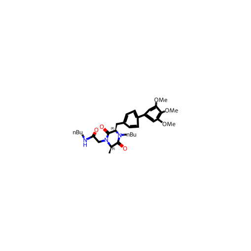 CCCCNC(=O)CN1C(=O)[C@@H](Cc2ccc(-c3cc(OC)c(OC)c(OC)c3)cc2)N(CCCC)C(=O)[C@H]1C